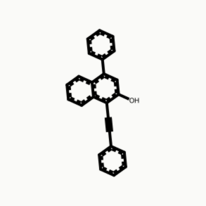 Oc1cc(-c2ccccc2)c2ccccc2c1C#Cc1ccccc1